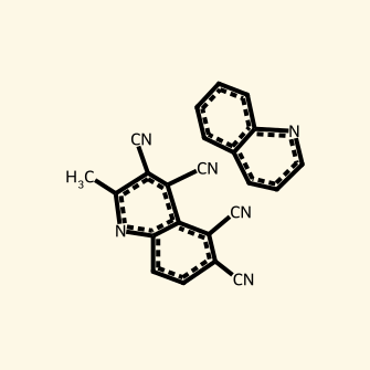 Cc1nc2ccc(C#N)c(C#N)c2c(C#N)c1C#N.c1ccc2ncccc2c1